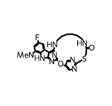 CNc1cc(F)cc2c1[nH]c1nc3nc(c12)NCCCCCCNC(=O)CSc1ncc(cn1)O3